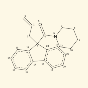 C=CCC1(C(=O)N2CCCCC2)c2ccccc2-c2ccccc21